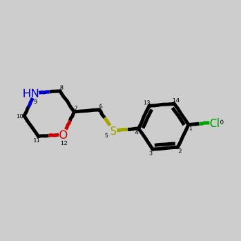 Clc1ccc(SCC2CNCCO2)cc1